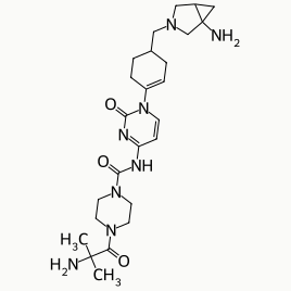 CC(C)(N)C(=O)N1CCN(C(=O)Nc2ccn(C3=CCC(CN4CC5CC5(N)C4)CC3)c(=O)n2)CC1